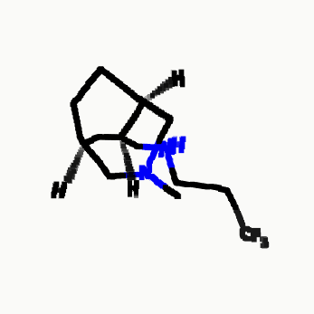 CN1C[C@H]2CC[C@@H](C1)[C@H]2NCCC(F)(F)F